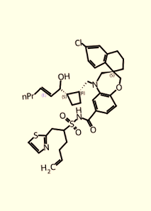 C=CCCC(Cc1nccs1)S(=O)(=O)NC(=O)c1ccc2c(c1)N(C[C@@H]1CC[C@@H]1C(O)/C=C/CCC)C[C@@]1(CCCc3cc(Cl)ccc31)CO2